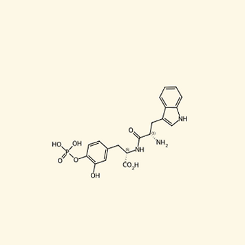 N[C@@H](Cc1c[nH]c2ccccc12)C(=O)N[C@@H](Cc1ccc(OP(=O)(O)O)c(O)c1)C(=O)O